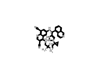 CC(C)(C)CNc1c(C#N)cnc2c(C#N)cc(N[C@H](C3=CN(C4(CF)CC4)NN3)c3cccc4cnccc34)cc12